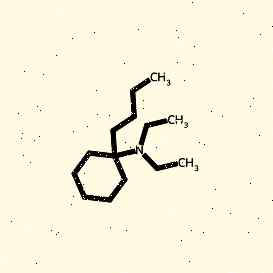 CCCCC1(N(CC)CC)CCCCC1